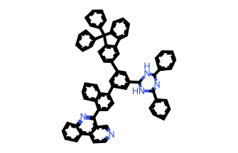 c1ccc(C2=NC(c3ccccc3)NC(c3cc(-c4ccc5c(c4)-c4ccccc4C5(c4ccccc4)c4ccccc4)cc(-c4ccc(-c5nc6ccccc6c6ccncc56)c5ccccc45)c3)N2)cc1